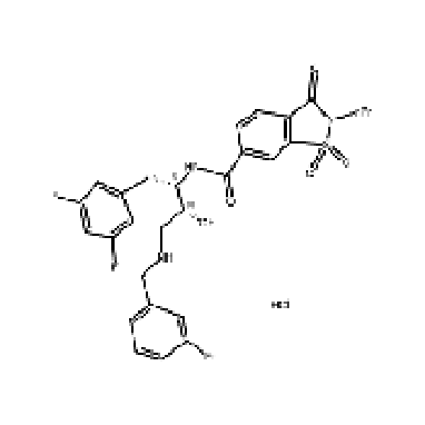 CCCN1C(=O)c2ccc(C(=O)N[C@@H](Cc3cc(F)cc(F)c3)[C@H](O)CNCc3cccc(CC)c3)cc2S1(=O)=O.Cl